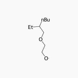 CCCCC(CC)COCC[O]